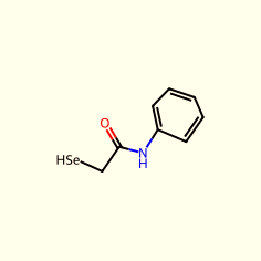 O=C(C[SeH])Nc1ccccc1